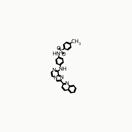 Cc1ccc(S(=O)(=O)Nc2ccc(Nc3nccn4cc(-c5ccc6ccccc6n5)nc34)cc2)cc1